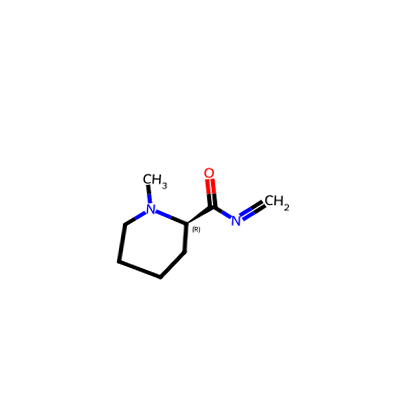 C=NC(=O)[C@H]1CCCCN1C